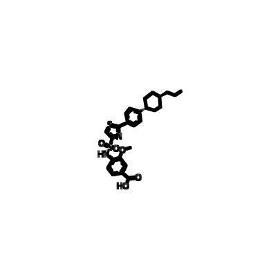 CCC[C@H]1CC[C@H](c2ccc(-c3nc(S(=O)(=O)Nc4ccc(C(=O)O)cc4OC)cs3)cc2)CC1